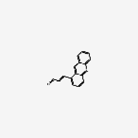 O=[C]C=Cc1cccc2nc3ccccc3cc12